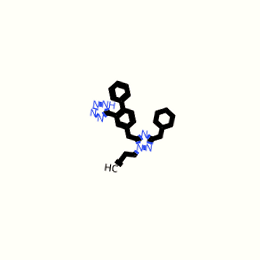 C#CCCn1nc(CC2CCCCC2)nc1Cc1ccc(-c2ccccc2)c(-c2nnn[nH]2)c1